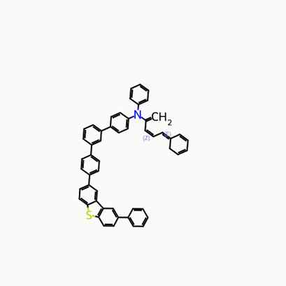 C=C(/C=C\C=C1\C=CC=CC1)N(c1ccccc1)c1ccc(-c2cccc(-c3ccc(-c4ccc5sc6ccc(-c7ccccc7)cc6c5c4)cc3)c2)cc1